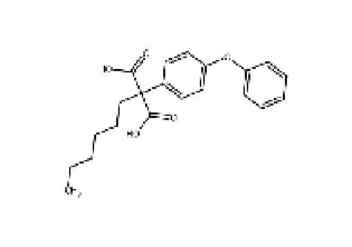 CCCCCCC(C(=O)O)(C(=O)O)c1ccc(Oc2ccccc2)cc1